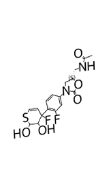 CC(=O)NC[C@H]1CN(c2ccc(C3(F)C=CSC(O)C3O)c(F)c2)C(=O)O1